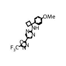 COc1c#cc(C2(Nc3ncc(-c4nnc(C(F)(F)F)o4)cn3)CCC2)cc1